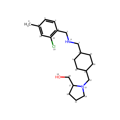 Cc1ccc(CNCC2CCC(CN3CCCC3CO)CC2)c(Cl)c1